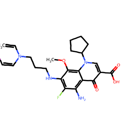 C=CN(/C=C\I)CCCNc1c(F)c(N)c2c(=O)c(C(=O)O)cn(C3CCCC3)c2c1OC